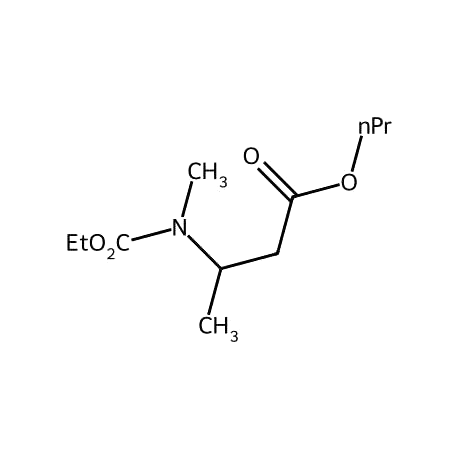 CCCOC(=O)CC(C)N(C)C(=O)OCC